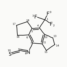 FC(F)(F)c1c2c(c(N=C=S)c3c1CCC3)CCC2